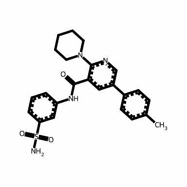 Cc1ccc(-c2cnc(N3CCCCC3)c(C(=O)Nc3cccc(S(N)(=O)=O)c3)c2)cc1